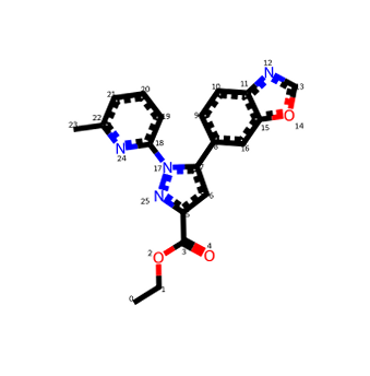 CCOC(=O)c1cc(-c2ccc3ncoc3c2)n(-c2cccc(C)n2)n1